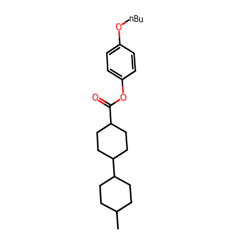 CCCCOc1ccc(OC(=O)C2CCC(C3CCC(C)CC3)CC2)cc1